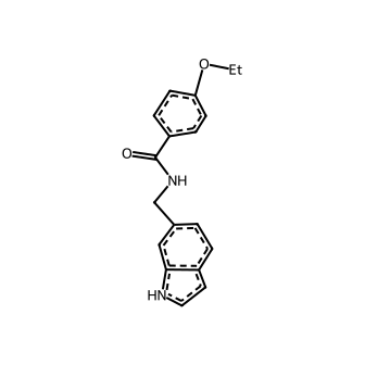 CCOc1ccc(C(=O)NCc2ccc3cc[nH]c3c2)cc1